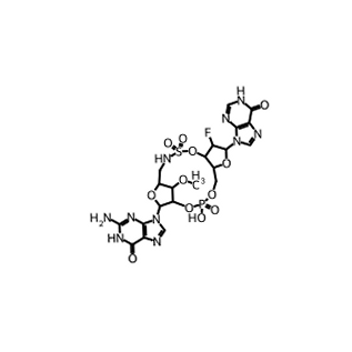 COC1C2CNS(=O)(=O)OC3C(COP(=O)(O)OC1C(n1cnc4c(=O)[nH]c(N)nc41)O2)OC(n1cnc2c(=O)[nH]cnc21)C3F